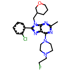 Cc1nc(N2CCN(CCF)CC2)c2nc(-c3ccccc3Cl)n(CC3CCCOC3)c2n1